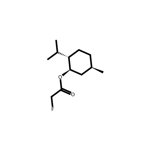 CC(C)[C@@H]1CC[C@@H](C)C[C@H]1OC(=O)CF